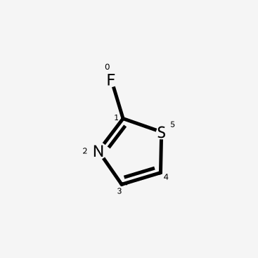 Fc1n[c]cs1